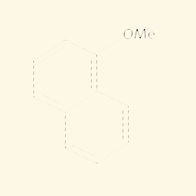 COc1[c]ccc2ccccc12